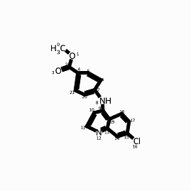 COC(=O)c1ccc(Nc2ccnc3cc(Cl)ccc23)cc1